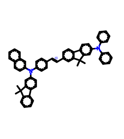 CC1(C)c2ccccc2-c2ccc(N(c3ccc(/C=C/c4ccc5c(c4)C(C)(C)c4cc(N(c6ccccc6)c6ccccc6)ccc4-5)cc3)c3ccc4ccccc4c3)cc21